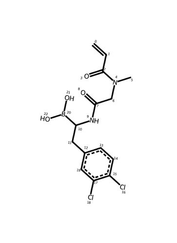 C=CC(=O)N(C)CC(=O)NC(Cc1ccc(Cl)c(Cl)c1)B(O)O